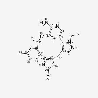 CCn1ncc2c1-c1cnc(N)c(c1)OC(C)c1cc(C)ccc1-n1nc(Br)cc1C2